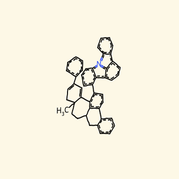 CC12CC=C(c3ccccc3)C=C1c1c(-c3cccc4c3c3cccc5c6ccccc6n4c53)ccc3c1C(CC2)Cc1ccccc1-3